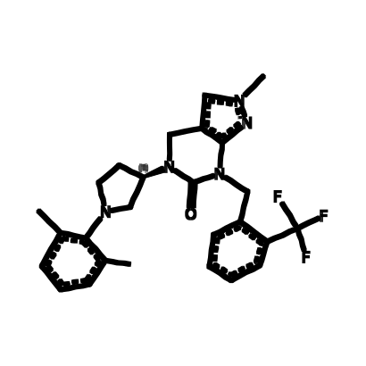 Cc1cccc(C)c1N1CC[C@@H](N2Cc3cn(C)nc3N(Cc3ccccc3C(F)(F)F)C2=O)C1